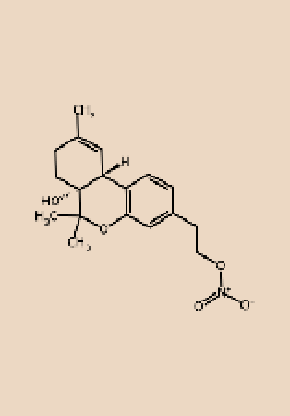 CC1=C[C@@H]2c3ccc(CCO[N+](=O)[O-])cc3OC(C)(C)[C@@]2(O)CC1